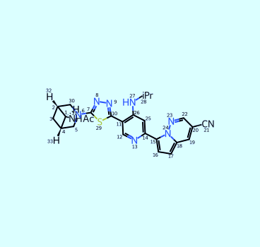 CC(=O)N[C@@H]1[C@@H]2C[C@H]1CN(c1nnc(-c3cnc(-c4ccc5cc(C#N)cnn45)cc3NC(C)C)s1)C2